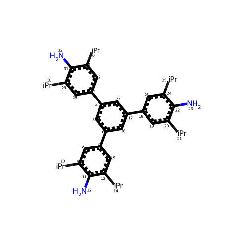 CC(C)c1cc(-c2cc(-c3cc(C(C)C)c(N)c(C(C)C)c3)cc(-c3cc(C(C)C)c(N)c(C(C)C)c3)c2)cc(C(C)C)c1N